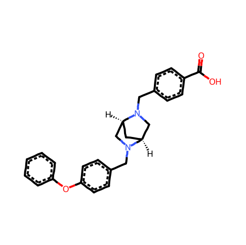 O=C(O)c1ccc(CN2C[C@@H]3C[C@H]2CN3Cc2ccc(Oc3ccccc3)cc2)cc1